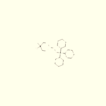 CC1([N+](=O)[O-])COB([O][Sn][C](C2CCCCC2)(C2CCCCC2)C2CCCCC2)OC1